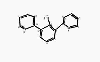 Oc1c(-c2bcccc2)cccc1-c1ccccn1